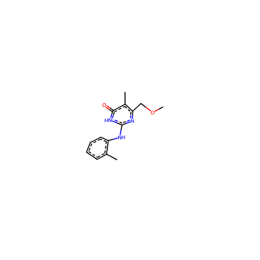 COCc1nc(Nc2ccccc2C)[nH]c(=O)c1C